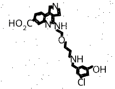 O=C(O)c1ccc2c(c1)nc(NCCOCCCCNCc1cc(Cl)cc(CO)c1)c1ccncc12